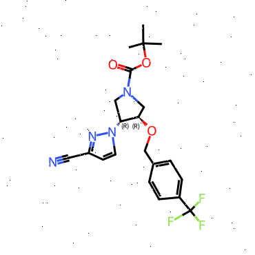 CC(C)(C)OC(=O)N1C[C@@H](n2ccc(C#N)n2)[C@H](OCc2ccc(C(F)(F)F)cc2)C1